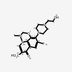 CN1COc2c(N3CCN(CCO)CC3)c(F)cc3c(=O)c(C(=O)O)cn1c23